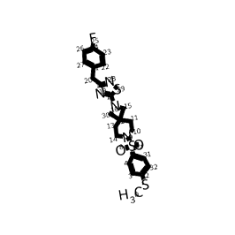 CSc1ccc(S(=O)(=O)N2CCC3(CC2)CN(c2nc(Cc4ccc(F)cc4)ns2)C3)cc1